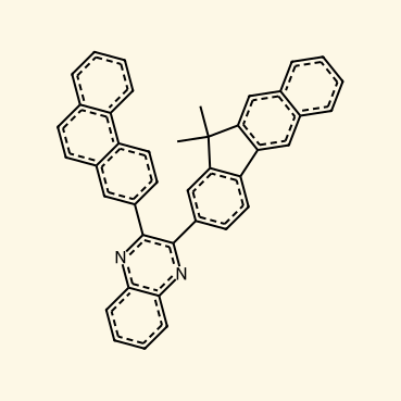 CC1(C)c2cc(-c3nc4ccccc4nc3-c3ccc4c(ccc5ccccc54)c3)ccc2-c2cc3ccccc3cc21